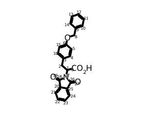 O=C(O)C(Cc1ccc(OCc2ccccc2)cc1)N1C(=O)c2ccccc2C1=O